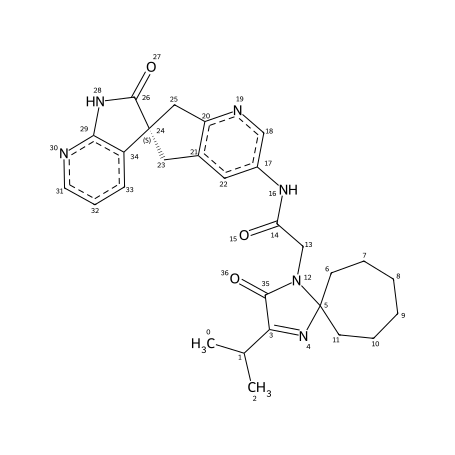 CC(C)C1=NC2(CCCCCC2)N(CC(=O)Nc2cnc3c(c2)C[C@@]2(C3)C(=O)Nc3ncccc32)C1=O